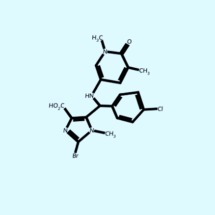 Cc1cc(NC(c2ccc(Cl)cc2)c2c(C(=O)O)nc(Br)n2C)cn(C)c1=O